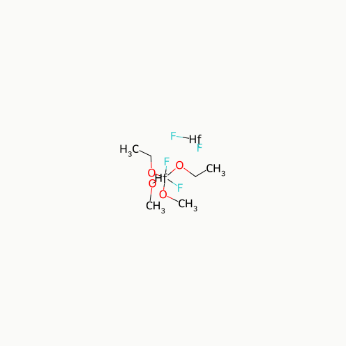 CC[O][Hf]([F])([F])([O]C)([O]C)[O]CC.[F][Hf][F]